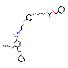 O=CNc1cc([C@@H](O)CNCCCCc2ccc(CCCCNC(=O)OCc3ccccc3)cc2)ccc1OCc1ccccc1